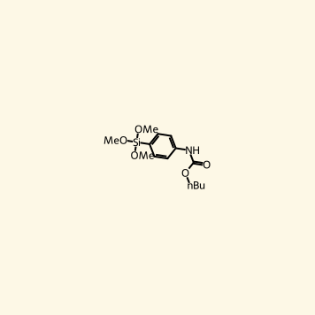 CCCCOC(=O)Nc1ccc([Si](OC)(OC)OC)cc1